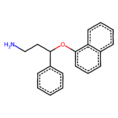 NCCC(Oc1cccc2ccccc12)c1ccccc1